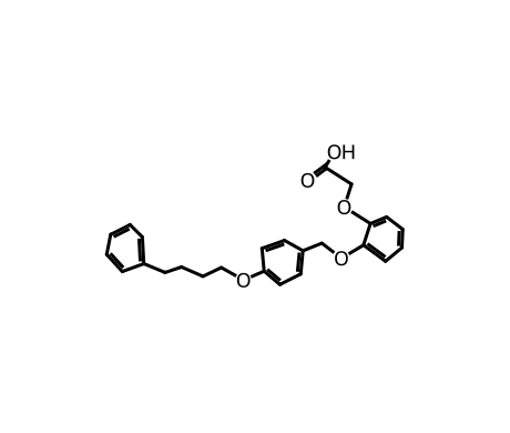 O=C(O)COc1ccccc1OCc1ccc(OCCCCc2ccccc2)cc1